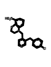 O=C(O)c1cccc2c1OCCN2Cc1ccncc1Cc1ccc(Cl)cc1